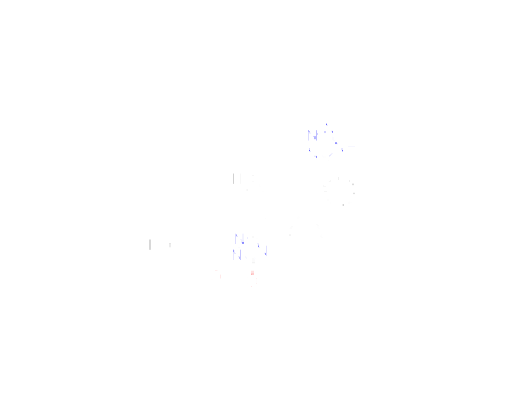 C=CCCc1nn(C(=O)CCC)c(=O)n1Cc1ccc(-c2cccc(-c3nnn[nH]3)c2)cc1